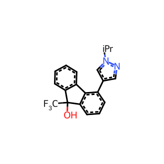 CC(C)n1cc(-c2cccc3c2-c2ccccc2C3(O)C(F)(F)F)cn1